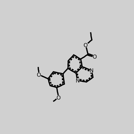 CCOC(=O)c1ccc(-c2cc(OC)cc(OC)c2)c2nccnc12